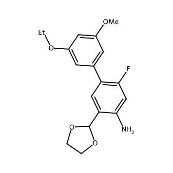 CCOc1cc(OC)cc(-c2cc(C3OCCO3)c(N)cc2F)c1